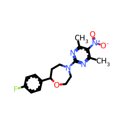 Cc1nc(N2CCOC(c3ccc(F)cc3)CC2)nc(C)c1[N+](=O)[O-]